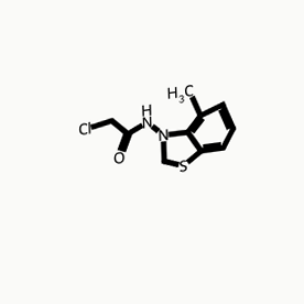 Cc1cccc2c1N(NC(=O)CCl)CS2